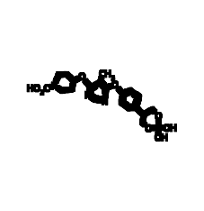 Cc1c(Oc2ccc(C3COS(O)(O)OC3)cc2)ncnc1OC1CCN(C(=O)O)CC1